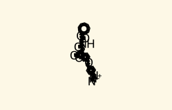 [N-]=[N+]=Nc1ccc(COc2ccc3c(CC(=O)NCC(=O)OC4CCCCCCCC4)cc(=O)oc3c2)cc1